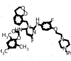 Cc1cc(C)c(OC(=O)NC2C=C(F)N=C(Nc3ccc(OCCN4CCN(C(C)C)CC4)c(F)c3)N2Cc2cccc3c2OOCC3)c(C)c1